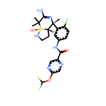 CC1(C)C(N)=N[C@](C)(c2cc(NC(=O)c3cnc(OC(F)F)cn3)ccc2F)[C@@H]2CCNS21O